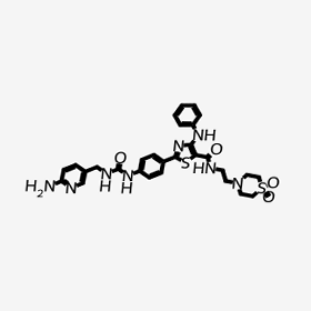 Nc1ccc(CNC(=O)Nc2ccc(-c3nc(Nc4ccccc4)c(C(=O)NCCN4CCS(=O)(=O)CC4)s3)cc2)cn1